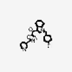 O=C(c1nnc(-c2cccnc2)o1)c1cn(Cc2ccc(Cl)cc2)c2ccccc12